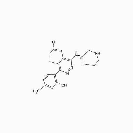 Cc1ccc(-c2nnc(N[C@@H]3CCCNC3)c3cc(Cl)ccc23)c(O)c1